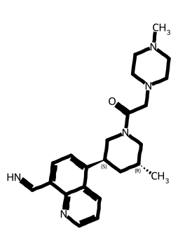 C[C@@H]1C[C@@H](c2ccc(C=N)c3ncccc23)CN(C(=O)CN2CCN(C)CC2)C1